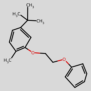 Cc1ccc(C(C)(C)C)cc1OCCOc1ccccc1